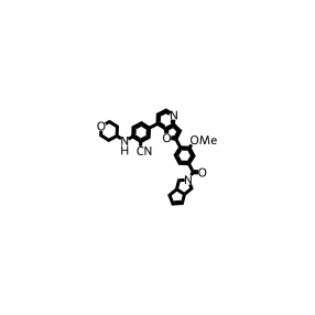 COc1cc(C(=O)N2CC3C=CCC3C2)ccc1-c1cc2nccc(-c3ccc(NC4CCOCC4)c(C#N)c3)c2o1